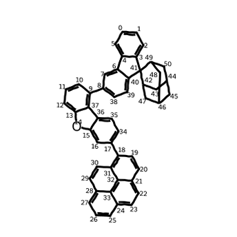 c1ccc2c(c1)-c1cc(-c3cccc4oc5cc(-c6ccc7ccc8cccc9ccc6c7c89)ccc5c34)ccc1C21C2CC3CC(C2)CC1C3